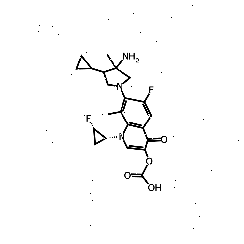 Cc1c(N2CC(C3CC3)C(C)(N)C2)c(F)cc2c(=O)c(OC(=O)O)cn([C@@H]3C[C@@H]3F)c12